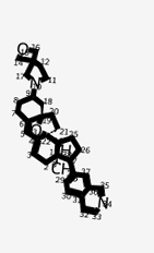 C[C@]12CC=C3C=C4CCC(N5CCC6(COC6)C5)C[C@]45CC[C@]3(O5)[C@@H]1CCC2c1ccc2ccncc2c1